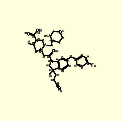 C[C@@H]1COCCN1C[C@H]1CN(C(=O)O)[C@H](C)CN1CC(=O)N1C[C@@](C)(CCC#N)c2ccc(Cc3ccc(F)cc3)cc21